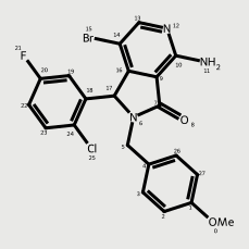 COc1ccc(CN2C(=O)c3c(N)ncc(Br)c3C2c2cc(F)ccc2Cl)cc1